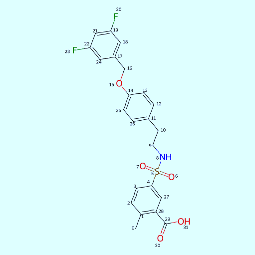 Cc1ccc(S(=O)(=O)NCCc2ccc(OCc3cc(F)cc(F)c3)cc2)cc1C(=O)O